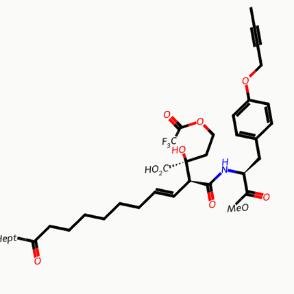 CC#CCOc1ccc(C[C@H](NC(=O)[C@@H](/C=C/CCCCCCC(=O)CCCCCCC)[C@@](O)(CCOC(=O)C(F)(F)F)C(=O)O)C(=O)OC)cc1